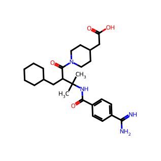 CC(C)(NC(=O)c1ccc(C(=N)N)cc1)C(CC1CCCCC1)C(=O)N1CCC(CC(=O)O)CC1